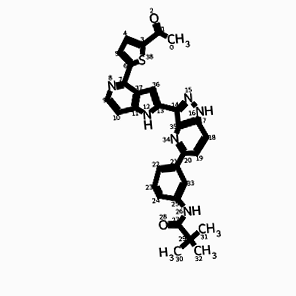 CC(=O)c1ccc(-c2nccc3[nH]c(-c4n[nH]c5ccc(-c6cccc(NC(=O)C(C)(C)C)c6)nc45)cc23)s1